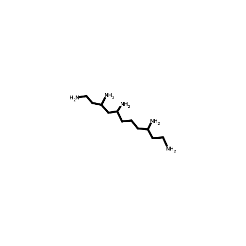 NCCC(N)CCCC(N)CC(N)CCN